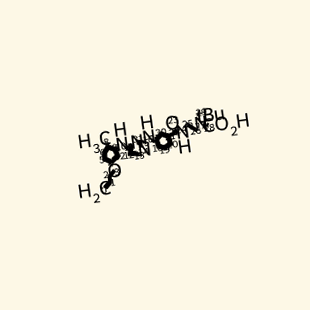 C=CCOc1ccc(C)c(Nc2ccnc(Nc3cccc(C(=O)NCCN(C(=O)O)C(C)(C)C)c3)n2)c1